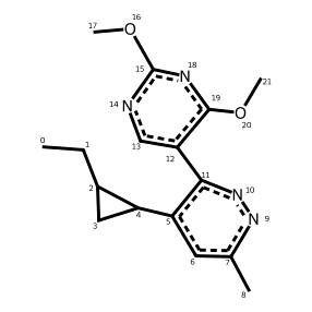 CCC1CC1c1cc(C)nnc1-c1cnc(OC)nc1OC